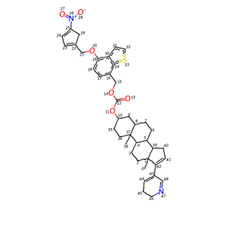 CC12CCC3C(CCC4CC(OC(=O)OCc5ccc(OCC6=CC=C([N+](=O)[O-])C6)c6ccsc56)CCC43C)C1CC=C2C1=CCCN=C1